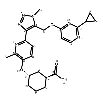 Cc1nc(-c2nnn(C)c2COc2ccnc(C3CC3)n2)ccc1O[C@H]1CCC[C@H](C(=O)O)C1